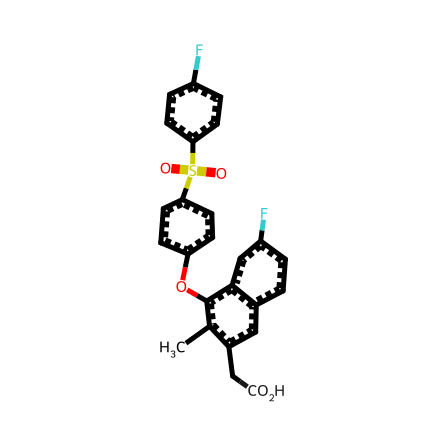 Cc1c(CC(=O)O)cc2ccc(F)cc2c1Oc1ccc(S(=O)(=O)c2ccc(F)cc2)cc1